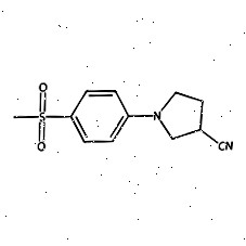 CS(=O)(=O)c1ccc(N2CCC(C#N)C2)cc1